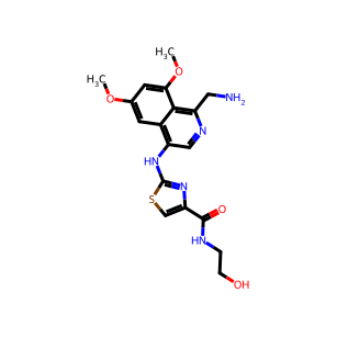 COc1cc(OC)c2c(CN)ncc(Nc3nc(C(=O)NCCO)cs3)c2c1